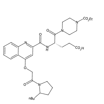 CCCCC1CCCN1C(=O)COc1cc(C(=O)N[C@@H](CCC(=O)O)C(=O)N2CCN(C(=O)OCC)CC2)nc2ccccc12